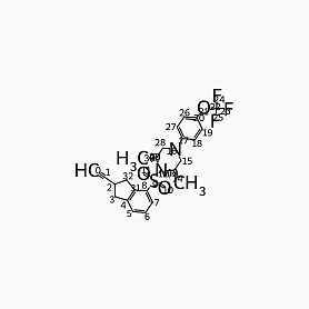 C#CC1Cc2cccc(S(=O)(=O)N3[C@H](C)CN(c4ccc(OC(F)(F)F)cc4)C[C@@H]3C)c2C1